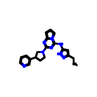 CCc1cc(Nc2nc(N3CCC(c4cccnc4)C3)nc3cccn23)[nH]n1